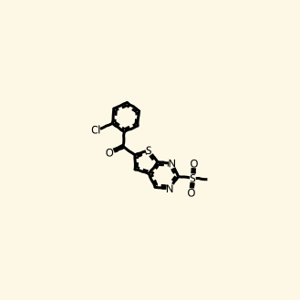 CS(=O)(=O)c1ncc2cc(C(=O)c3ccccc3Cl)sc2n1